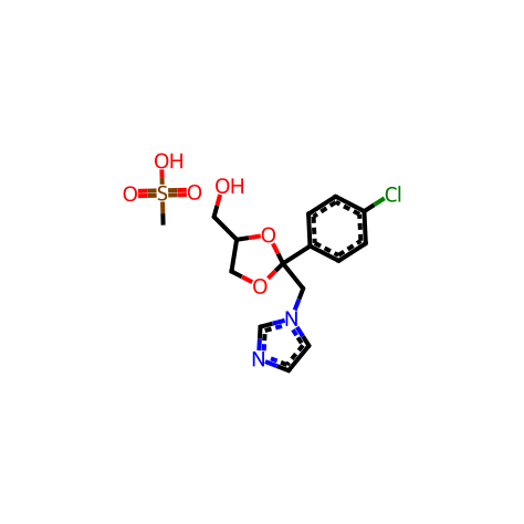 CS(=O)(=O)O.OCC1COC(Cn2ccnc2)(c2ccc(Cl)cc2)O1